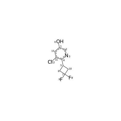 Oc1cnc(C2CC(F)(F)C2)c(Cl)c1